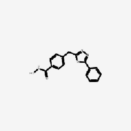 O=C(NO)c1ccc(Cc2nnc(-c3ccccc3)o2)cc1